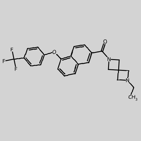 CCN1CC2(C1)CN(C(=O)c1ccc3c(Oc4ccc(C(F)(F)F)cc4)cccc3c1)C2